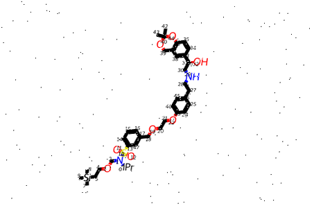 CC(C)N(COCC[Si](C)(C)C)S(=O)(=O)c1cccc(COCCOc2ccc(CCNC[C@H](O)c3ccc4c(c3)COC(C)(C)O4)cc2)c1